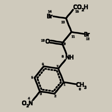 Cc1cc([N+](=O)[O-])ccc1NC(=O)C(Br)C(Br)C(=O)O